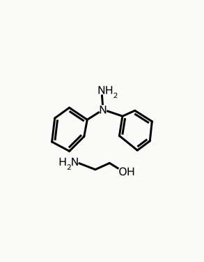 NCCO.NN(c1ccccc1)c1ccccc1